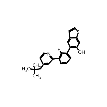 CC(C)(C)Cc1ccnc(-c2cccc(-c3cc4ccsc4cc3O)c2F)c1